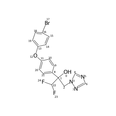 OC(Cn1cncn1)(c1ccc(Oc2ccc(Br)cc2)cc1)C(F)F